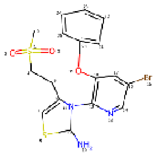 CS(=O)(=O)CCC1=CSC(N)N1c1ncc(Br)cc1Oc1ccccc1